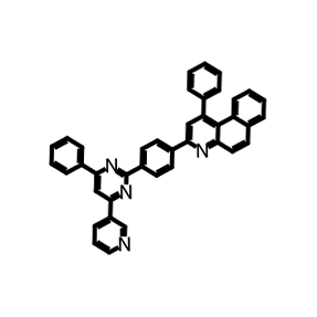 c1ccc(-c2cc(-c3cccnc3)nc(-c3ccc(-c4cc(-c5ccccc5)c5c(ccc6ccccc65)n4)cc3)n2)cc1